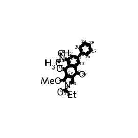 CCC(=O)n1cc2c(c1OC)C(=O)c1c(cc(-c3ccccc3)cc1N(C)C)C2=O